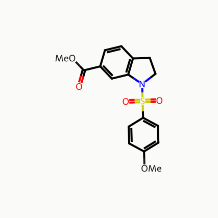 COC(=O)c1ccc2c(c1)N(S(=O)(=O)c1ccc(OC)cc1)CC2